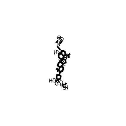 C=C(C)[C@@H]1CC[C@]2(NCCN3CCS(=O)(=O)CC3)CC[C@]3(C)[C@H](CCC4[C@@]5(C)CC=C(C6=CCC(COc7nsnc7C)(C(=O)O)CC6)C(C)(C)C5CC[C@]43C)C12